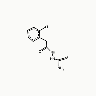 NC(=S)NNC(=O)Cc1ccccc1Cl